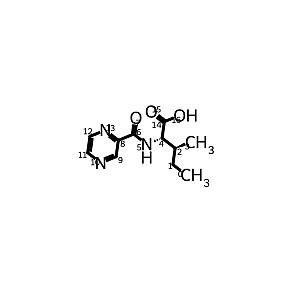 CC[C@H](C)[C@H](NC(=O)c1cnccn1)C(=O)O